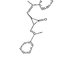 CC(=CC1C(=O)C1C=C(C)c1ccccc1)c1ccccc1